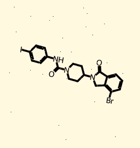 O=C(Nc1ccc(I)cc1)N1CCC(N2Cc3c(Br)cccc3C2=O)CC1